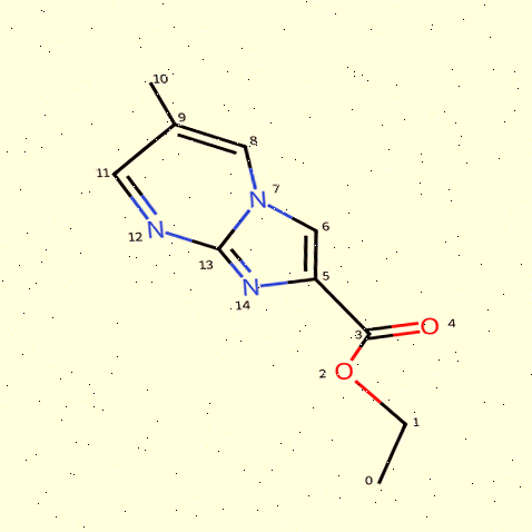 CCOC(=O)c1cn2cc(C)cnc2n1